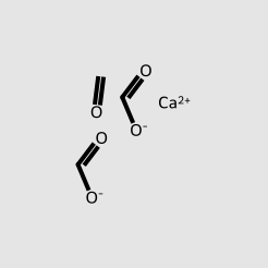 C=O.O=C[O-].O=C[O-].[Ca+2]